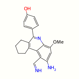 COc1cc(N)c(C=N)c2c3c(c(-c4ccc(O)cc4)nc12)CCCC3